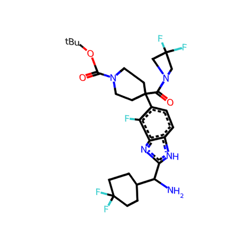 CC(C)(C)OC(=O)N1CCC(C(=O)N2CC(F)(F)C2)(c2ccc3[nH]c(C(N)C4CCC(F)(F)CC4)nc3c2F)CC1